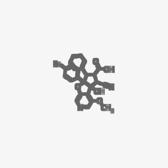 COc1cncc2c1C1(O)C(C#N)C(C(=O)O)C(c3ccccc3)C1(c1ccc(Br)cc1)O2